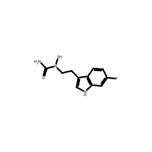 NC(=O)N(S)CCc1c[nH]c2cc(F)ccc12